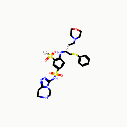 O=S(=O)(Nc1nnc2n1CCNCC2)c1ccc(N[C@H](CCN2CCOCC2)CSc2ccccc2)c(S(=O)(=O)C(F)(F)F)c1